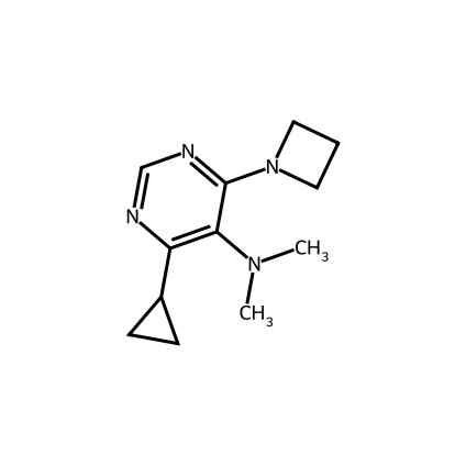 CN(C)c1c(C2CC2)ncnc1N1CCC1